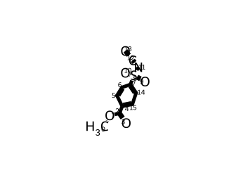 COC(=O)c1ccc(S(=O)(=O)N=C=O)cc1